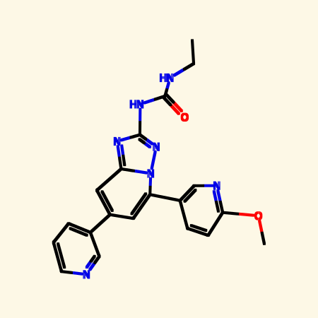 CCNC(=O)Nc1nc2cc(-c3cccnc3)cc(-c3ccc(OC)nc3)n2n1